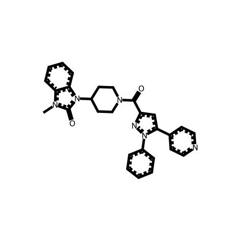 Cn1c(=O)n(C2CCN(C(=O)c3cc(-c4ccncc4)n(-c4ccccc4)n3)CC2)c2ccccc21